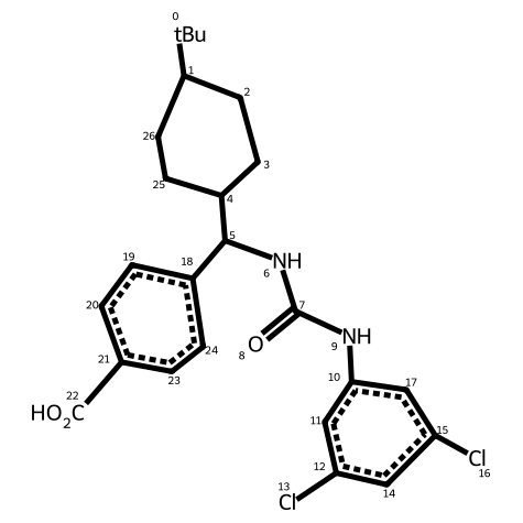 CC(C)(C)C1CCC(C(NC(=O)Nc2cc(Cl)cc(Cl)c2)c2ccc(C(=O)O)cc2)CC1